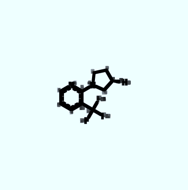 [2H][C@@H]1CCN(c2ncccc2C(F)(F)F)C1